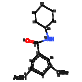 COc1cc(NC(C)=O)cc(C(=O)NC2CCCCC2)c1